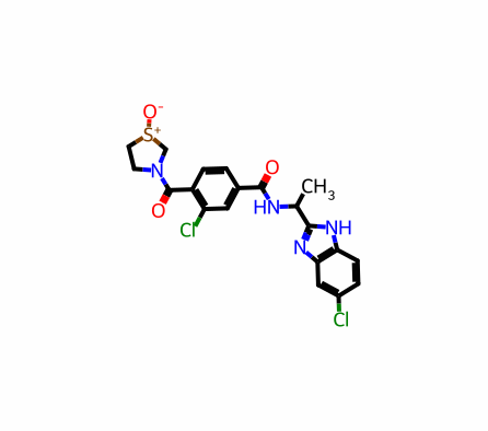 CC(NC(=O)c1ccc(C(=O)N2CC[S+]([O-])C2)c(Cl)c1)c1nc2cc(Cl)ccc2[nH]1